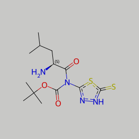 CC(C)C[C@H](N)C(=O)N(C(=O)OC(C)(C)C)c1n[nH]c(=S)s1